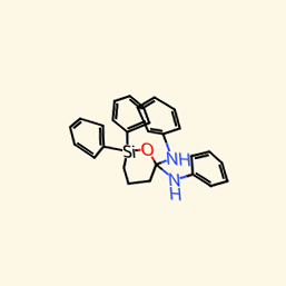 c1ccc(NC2(Nc3ccccc3)CCC[Si](c3ccccc3)(c3ccccc3)O2)cc1